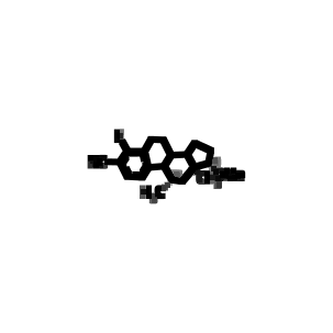 CO[C@H]1CCC2C3CCc4c(ccc(C#N)c4F)C3[C@@H](C)C[C@@]21C